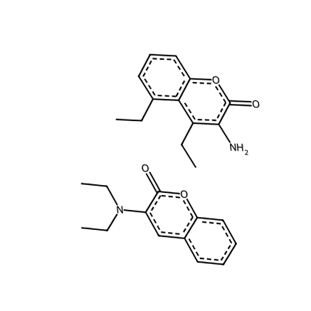 CCN(CC)c1cc2ccccc2oc1=O.CCc1cccc2oc(=O)c(N)c(CC)c12